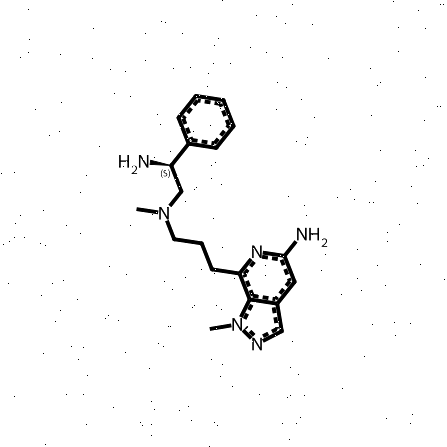 CN(CCCc1nc(N)cc2cnn(C)c12)C[C@@H](N)c1ccccc1